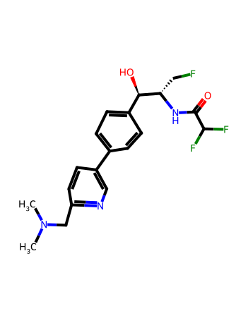 CN(C)Cc1ccc(-c2ccc([C@@H](O)[C@H](CF)NC(=O)C(F)F)cc2)cn1